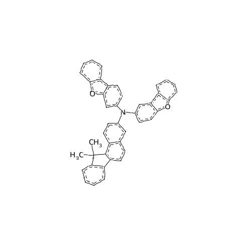 CC1(C)c2ccccc2-c2ccc3cc(N(c4ccc5c(c4)oc4ccccc45)c4ccc5oc6ccccc6c5c4)ccc3c21